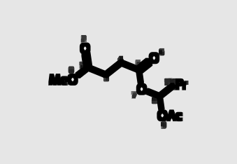 COC(=O)CCC(=O)OC(OC(C)=O)C(C)C